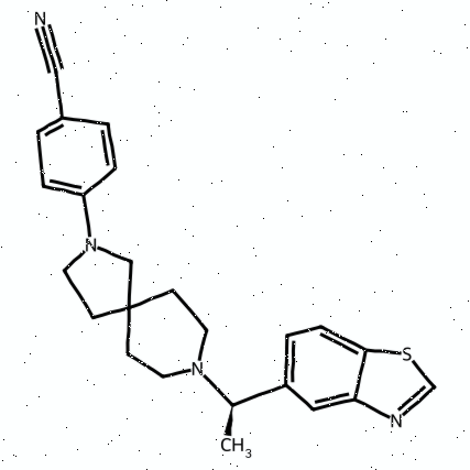 C[C@H](c1ccc2scnc2c1)N1CCC2(CCN(c3ccc(C#N)cc3)C2)CC1